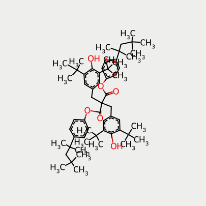 CC(C)(C)CC(C)(C)c1ccc(OC(=O)C(Cc2cc(C(C)(C)C)c(O)c(C(C)(C)C)c2)(Cc2cc(C(C)(C)C)c(O)c(C(C)(C)C)c2)C(=O)Oc2ccc(C(C)(C)CC(C)(C)C)cc2)cc1